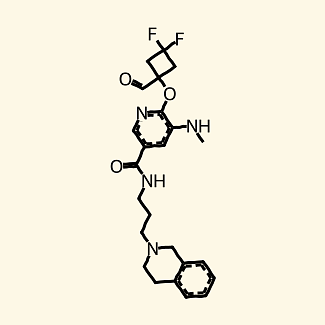 CNc1cc(C(=O)NCCCN2CCc3ccccc3C2)cnc1OC1(C=O)CC(F)(F)C1